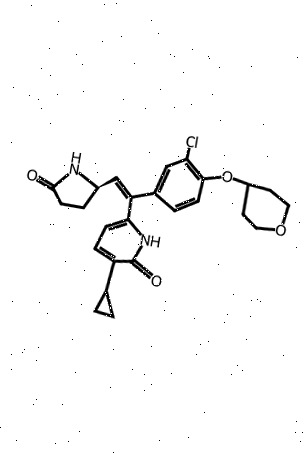 O=C1CC[C@H](/C=C(/c2ccc(OC3CCOCC3)c(Cl)c2)c2ccc(C3CC3)c(=O)[nH]2)N1